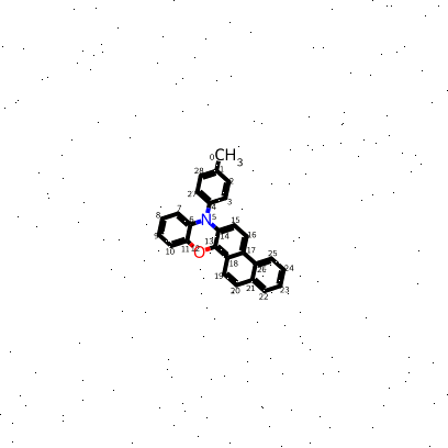 Cc1ccc(N2c3ccccc3Oc3c2ccc2c3ccc3ccccc32)cc1